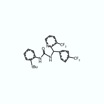 CC(C)(C)c1ccccc1NC(=O)NC(c1ccc(C(F)(F)F)cc1)c1ncccc1C(F)(F)F